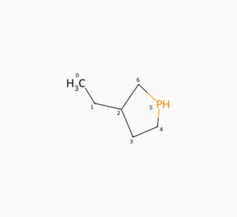 CCC1CCPC1